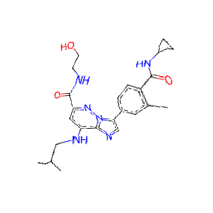 Cc1cc(-c2cnc3c(NCC(C)C)cc(C(=O)NCCO)nn23)ccc1C(=O)NC1CC1